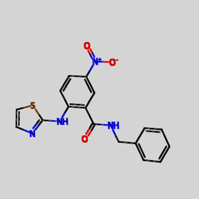 O=C(NCc1ccccc1)c1cc([N+](=O)[O-])ccc1Nc1nccs1